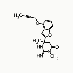 CC#CCOc1cccc2oc(C3(C)CC(=O)N(C)C(=N)N3)cc12